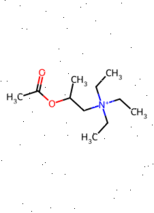 CC[N+](CC)(CC)CC(C)OC(C)=O